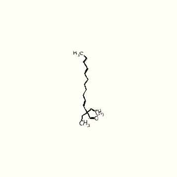 CCCCCCCCCC=CC([C]=O)(CC)CC